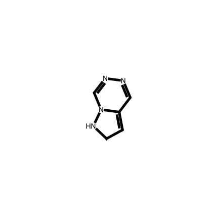 [CH]1C=C2C=NN=CN2N1